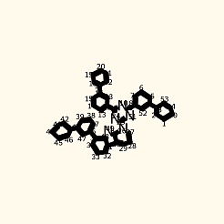 c1ccc(-c2cccc(-c3nc(-c4cccc(-c5ccccc5)c4)nc(-n4cccc5c6cccc(-c7cccc(-c8ccccc8)c7)c6nc4-5)n3)c2)cc1